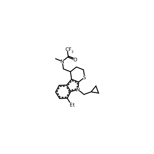 CCc1cccc2c3c(n(CC4CC4)c12)SCCC3CN(C)C(=O)C(F)(F)F